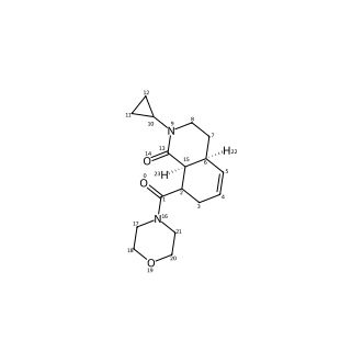 O=C(C1CC=C[C@@H]2CCN(C3CC3)C(=O)[C@H]12)N1CCOCC1